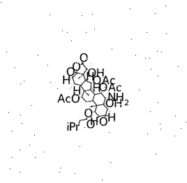 CC(=O)O[C@H]1[C@@H]2[C@H]([C@H](C)[C@H]3O[C@]34OC(=O)[C@@](C)(O)[C@]24C)[C@@]2(C)[C@@H](OC(C)=O)CC3C([C@@H](OC(C)=O)[C@H](N)[C@@]4(O)C[C@@H]5O[C@@H]5[C@H](OC(=O)CC(C)C)[C@]34C)[C@H]12